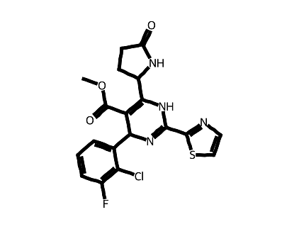 COC(=O)C1=C(C2CCC(=O)N2)NC(c2nccs2)=NC1c1cccc(F)c1Cl